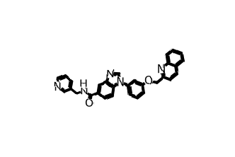 O=C(NCc1cccnc1)c1ccc2c(c1)ncn2-c1cccc(OCc2ccc3ccccc3n2)c1